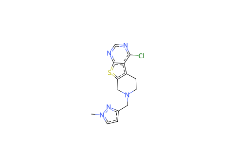 Cn1ccc(CN2CCc3c(sc4ncnc(Cl)c34)C2)n1